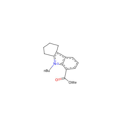 CCCCn1c2c(c3cccc(C(=O)OC)c31)CCCC2